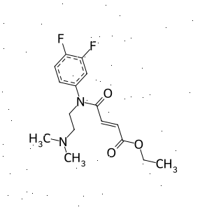 CCOC(=O)/C=C/C(=O)N(CCN(C)C)c1ccc(F)c(F)c1